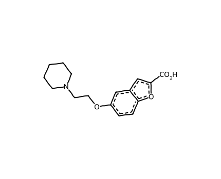 O=C(O)c1cc2cc(OCCN3CCCCC3)ccc2o1